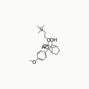 COc1ccc(C2(O)C(O)C3CCC2C3C(=O)OCC[Si](C)(C)C)cc1